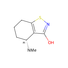 CN[C@@H]1CCCc2snc(O)c21